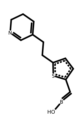 OB=Cc1ccc(CCC2=CCCN=C2)s1